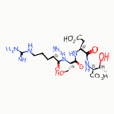 C[C@@H](O)[C@H](NC(=O)[C@H](CC(=O)O)NC(=O)[C@H](CO)NC(=O)[C@@H](N)CCCNC(=N)N)C(=O)O